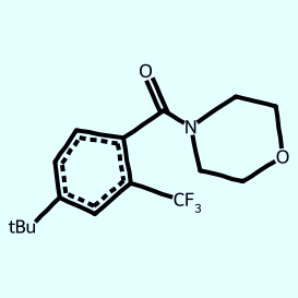 CC(C)(C)c1ccc(C(=O)N2CCOCC2)c(C(F)(F)F)c1